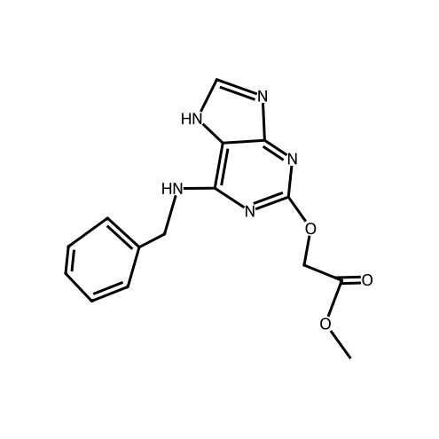 COC(=O)COc1nc(NCc2ccccc2)c2[nH]cnc2n1